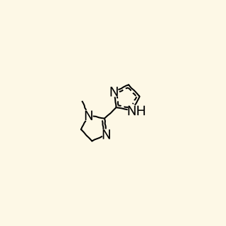 CN1CCN=C1c1ncc[nH]1